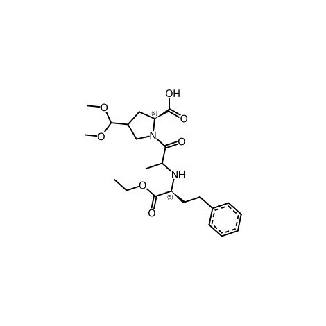 CCOC(=O)[C@H](CCc1ccccc1)NC(C)C(=O)N1CC(C(OC)OC)C[C@H]1C(=O)O